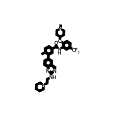 Cc1ccc(C(=O)Nc2cc(C(F)(F)F)ccc2OC2CCN(C)CC2)cc1-c1ccc2nc(NCCN3CCCCC3)ncc2c1